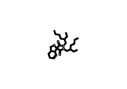 CCCCC(CC)COC(=O)C1(C(=O)OCC(CC)CCCC)OCC2CCC=CC21